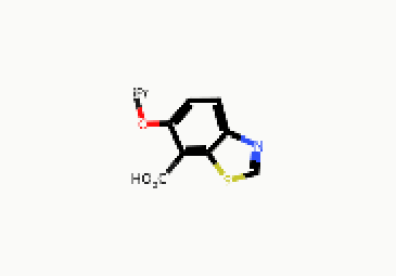 CC(C)Oc1ccc2ncsc2c1C(=O)O